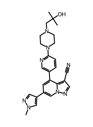 Cn1cc(-c2cc(-c3ccc(N4CCN(CC(C)(C)O)CC4)nc3)c3c(C#N)cnn3c2)cn1